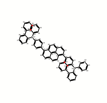 c1ccc(-c2ccccc2N(c2ccc(-c3ccc4ccc5c(-c6ccc(N(c7cccnc7)c7ccccc7-c7ccccc7)cc6)ccc6ccc3c4c65)cc2)c2cccnc2)cc1